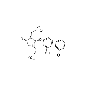 O=C1CN(CC2CO2)C(=O)N1CC1CO1.Oc1ccccc1.Oc1ccccc1